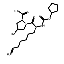 C=CCCCCC[C@H](NC(=O)OC1CCCC1)C(=O)N1CC(O)C[C@H]1C(N)=O